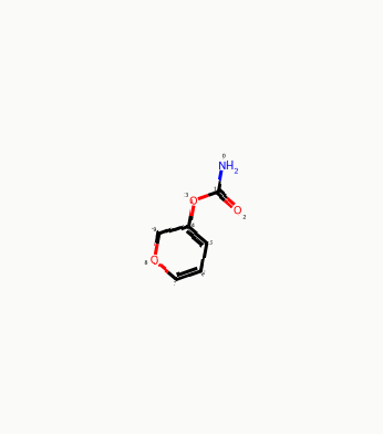 NC(=O)OC1=CC=COC1